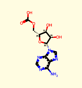 Nc1ncnc2c1ncn2[C@@H]1O[C@H](COC(=O)O)[C@@H](O)[C@H]1O